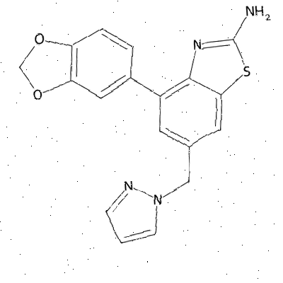 Nc1nc2c(-c3ccc4c(c3)OCO4)cc(Cn3cccn3)cc2s1